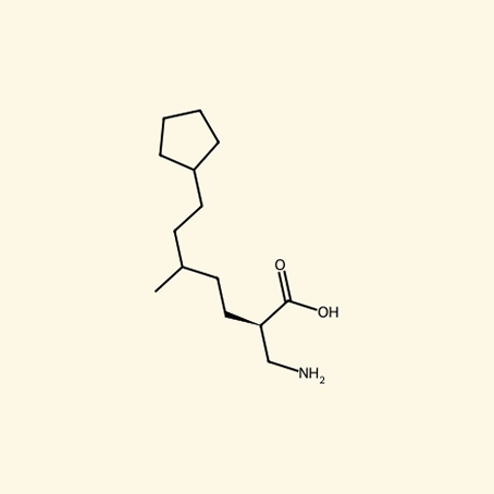 CC(CCC1CCCC1)CC[C@H](CN)C(=O)O